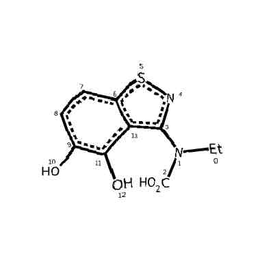 CCN(C(=O)O)c1nsc2ccc(O)c(O)c12